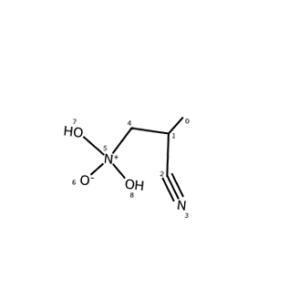 CC(C#N)C[N+]([O-])(O)O